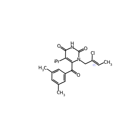 C/C=C(\Cl)Cn1c(C(=O)c2cc(C)cc(C)c2)c(C(C)C)c(=O)[nH]c1=O